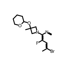 C=N/C(=C(F)\C=C(/C)Br)N1CC(C)(OC2CCCCO2)C1